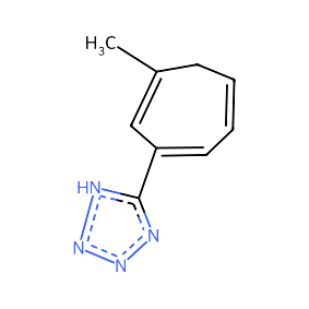 CC1=CC(c2nnn[nH]2)=CC=CC1